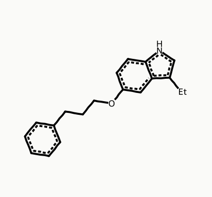 [CH2]Cc1c[nH]c2ccc(OCCCc3ccccc3)cc12